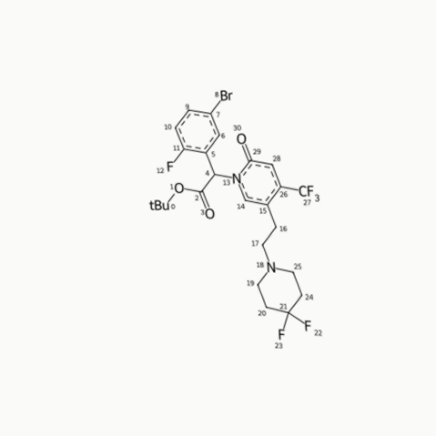 CC(C)(C)OC(=O)C(c1cc(Br)ccc1F)n1cc(CCN2CCC(F)(F)CC2)c(C(F)(F)F)cc1=O